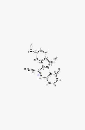 COc1ccc2[nH]cc(/C(C#N)=C\c3ccc[n+](C)c3)c2c1.[I-]